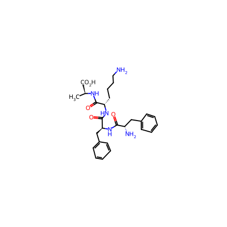 C[C@H](NC(=O)[C@H](CCCCN)NC(=O)[C@H](Cc1ccccc1)NC(=O)[C@@H](N)Cc1ccccc1)C(=O)O